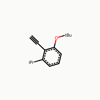 C#Cc1c(OC(C)(C)C)cccc1[C](C)C